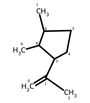 C=C(C)C1CCC(C)C1C